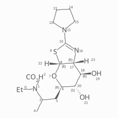 CCN(C(=O)O)C(C)C[C@H]1O[C@@H]2SC(N3CCCC3)=N[C@@H]2[C@@H](O)[C@@H]1O